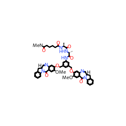 CNC(=O)CCCCC(=O)N[C@@H](C)C(=O)N[C@H](C)C(=O)Nc1cc(COc2cc3c(cc2OC)C(=O)N2c4ccccc4C[C@H]2C=N3)cc(COc2cc3c(cc2OC)C(=O)N2c4ccccc4C[C@H]2C=N3)c1